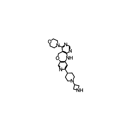 c1nc2c(c(N3CCOCC3)n1)COc1cnc(C3CCN(C4CNC4)CC3)cc1N2